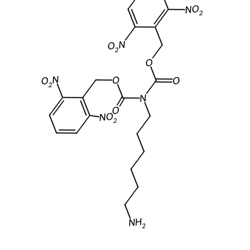 NCCCCCCN(C(=O)OCc1c([N+](=O)[O-])cccc1[N+](=O)[O-])C(=O)OCc1c([N+](=O)[O-])cccc1[N+](=O)[O-]